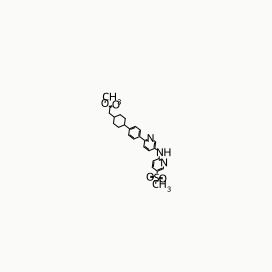 COC(=O)CC1CCC(c2ccc(-c3ccc(Nc4ccc(S(C)(=O)=O)cn4)cn3)cc2)CC1